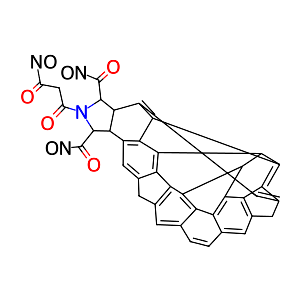 O=NC(=O)CC(=O)N1C(C(=O)N=O)C2c3cc4c5c6c3-c3c(cc7c8c3C6C3c6c-5c(cc5ccc9cc(c-8c3c9c65)C7)C4)C2C1C(=O)N=O